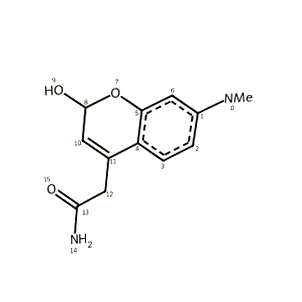 CNc1ccc2c(c1)OC(O)C=C2CC(N)=O